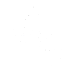 C=C/C(C)=C(\CC(C)C)Nc1nc(-c2ccccc2F)c(Cl)c2c1C(=O)N1CCN(C(=O)OC(C)(C)C)C[C@@H]1CO2